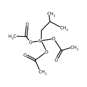 CC(=O)O[Si](CC(C)C)(OC(C)=O)OC(C)=O